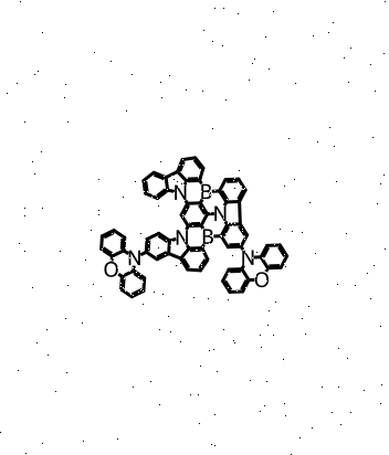 c1ccc2c(c1)Oc1ccccc1N2c1ccc2c(c1)c1cccc3c1n2-c1cc2c4c5c1B3c1cc(N3c6ccccc6Oc6ccccc63)cc3c6cccc(c6n-5c13)B4c1cccc3c4ccccc4n-2c13